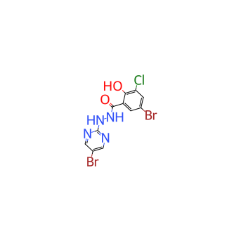 O=C(NNc1ncc(Br)cn1)c1cc(Br)cc(Cl)c1O